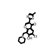 CCc1cc2c(=O)c(-c3ncc(C)s3)coc2c(CB2CCCCC2)c1O